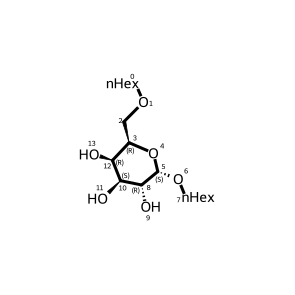 CCCCCCOC[C@H]1O[C@H](OCCCCCC)[C@H](O)[C@@H](O)[C@H]1O